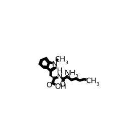 CCCCC[C@H](N)C(=O)N[C@H](Cc1cn(C)c2ccccc12)C(=O)O